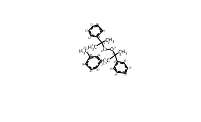 CC(C)(OOC(C)(C)c1ccccc1)c1ccccc1.Cc1ccccc1